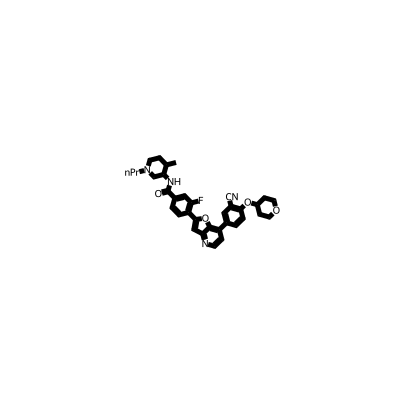 CCCN1CCC(C)C(NC(=O)c2ccc(-c3cc4nccc(-c5ccc(OC6CCOCC6)c(C#N)c5)c4o3)c(F)c2)C1